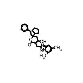 Cc1cc(C)n2nc(CC3=C(O)CC(CCc4ccccc4)(C4CCCC4)OC3=O)nc2c1